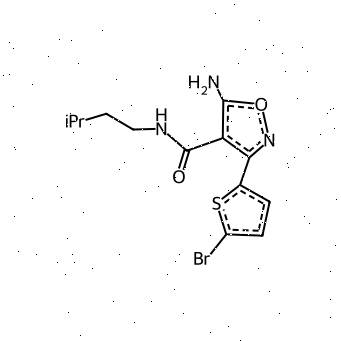 CC(C)CCNC(=O)c1c(-c2ccc(Br)s2)noc1N